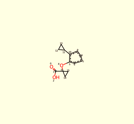 O=C(O)C1(Oc2ccccc2C2CC2)CC1